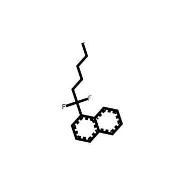 [CH2]CCCCC(F)(F)c1cccc2ccccc12